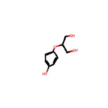 OCC(CO)Oc1ccc(O)cc1